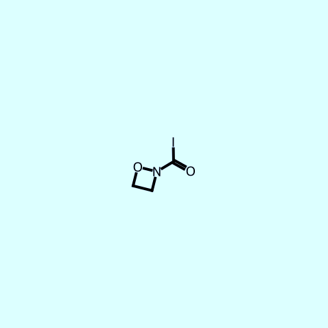 O=C(I)N1CCO1